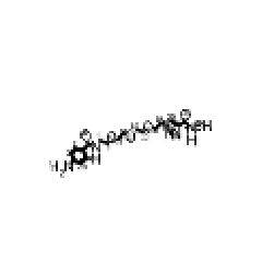 Nc1ccc(C(=O)NCCOCCOCCOCCn2cc(C(=O)NS)nn2)cc1